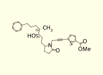 COC(=O)c1ccc(C#CCN2C(=O)CCC2CC[C@@H](O)[C@@H](C)CCCc2ccccc2)s1